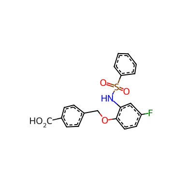 O=C(O)c1ccc(COc2ccc(F)cc2NS(=O)(=O)c2ccccc2)cc1